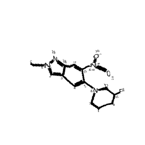 Cn1cc2cc(N3CCCC(F)C3)c([N+](=O)[O-])cc2n1